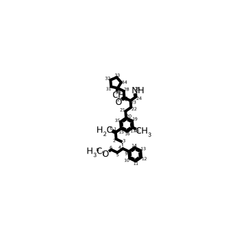 C=C(CC[C@@H](CCOC)c1ccccc1)c1cc(C)cc(CCC(C=N)C(=O)CC2(C)CCCC2)c1